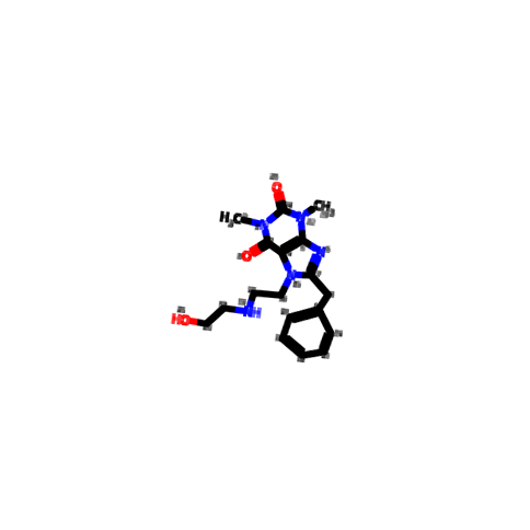 Cn1c(=O)c2c(nc(Cc3ccccc3)n2CCNCCO)n(C)c1=O